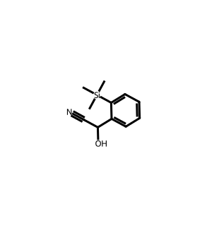 C[Si](C)(C)c1ccccc1C(O)C#N